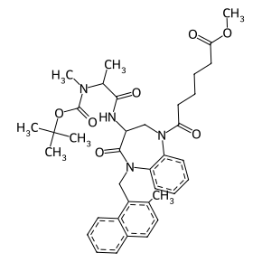 COC(=O)CCCCC(=O)N1CC(NC(=O)C(C)N(C)C(=O)OC(C)(C)C)C(=O)N(Cc2c(C)ccc3ccccc23)c2ccccc21